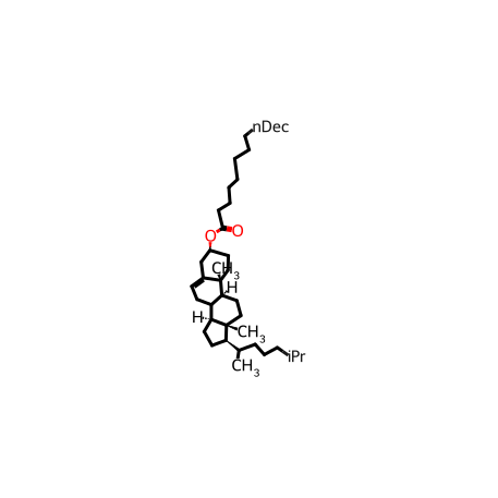 CCCCCCCCCCCCCCCCCC(=O)O[C@H]1CC[C@@]2(C)C(=CCC3[C@@H]4CC[C@H](C(C)CCCC(C)C)[C@@]4(C)CC[C@@H]32)C1